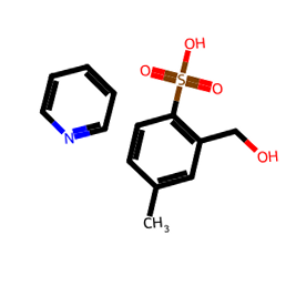 Cc1ccc(S(=O)(=O)O)c(CO)c1.c1ccncc1